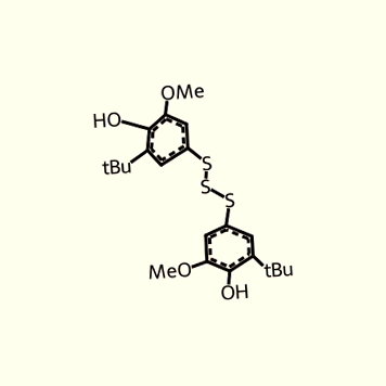 COc1cc(SSSc2cc(OC)c(O)c(C(C)(C)C)c2)cc(C(C)(C)C)c1O